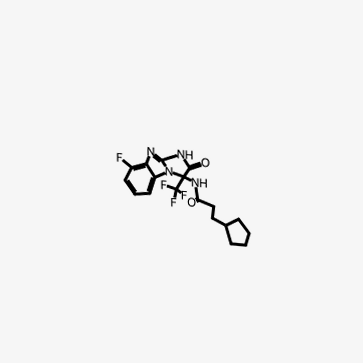 O=C(CCC1CCCC1)NC1(C(F)(F)F)C(=O)Nc2nc3c(F)cccc3n21